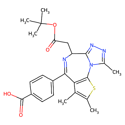 Cc1sc2c(c1C)C(c1ccc(C(=O)O)cc1)=NC(CC(=O)OC(C)(C)C)c1nnc(C)n1-2